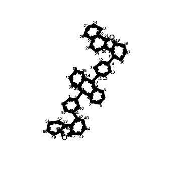 c1cc(-c2c3ccccc3c(-c3ccc(-c4cccc5oc6c7ccccc7ccc6c45)cc3)c3ccccc23)cc(-c2cccc3oc4ccccc4c23)c1